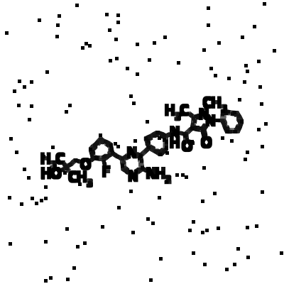 Cc1c(C(=O)Nc2ccc(-c3nc(-c4cccc(OCC(C)(C)O)c4F)cnc3N)cc2)c(=O)n(-c2ccccc2)n1C